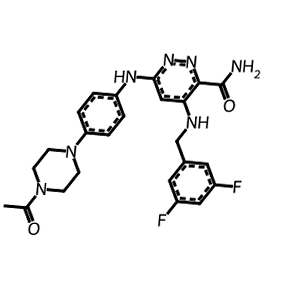 CC(=O)N1CCN(c2ccc(Nc3cc(NCc4cc(F)cc(F)c4)c(C(N)=O)nn3)cc2)CC1